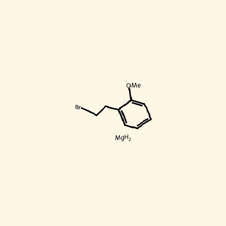 COc1ccccc1CCBr.[MgH2]